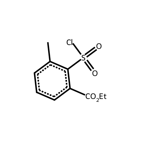 CCOC(=O)c1cccc(C)c1S(=O)(=O)Cl